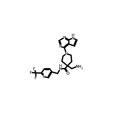 NCC1(C(=O)NCc2ccc(C(F)(F)F)nc2)CCN(c2ncnc3[nH]ccc23)CC1